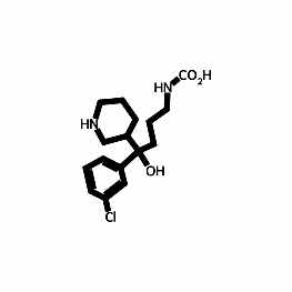 O=C(O)NCCCC(O)(c1cccc(Cl)c1)C1CCCNC1